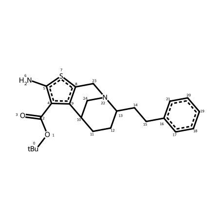 CC(C)(C)OC(=O)c1c(N)sc2c1C1CCC(CCc3ccccc3)N(C2)C1